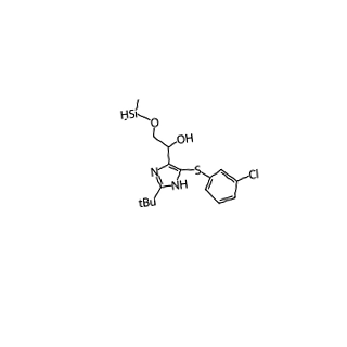 C[SiH](C)OCC(O)c1nc(C(C)(C)C)[nH]c1Sc1cccc(Cl)c1